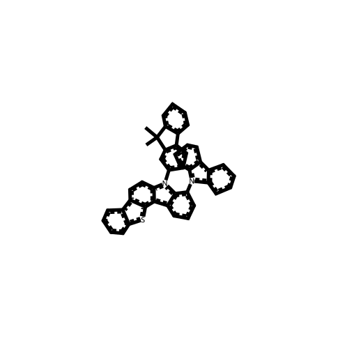 CC1(C)c2ccccc2-c2ccc(-n3c4ccc5c6ccccc6sc5c4c4cccc(-n5c6ccccc6c6ccccc65)c43)cc21